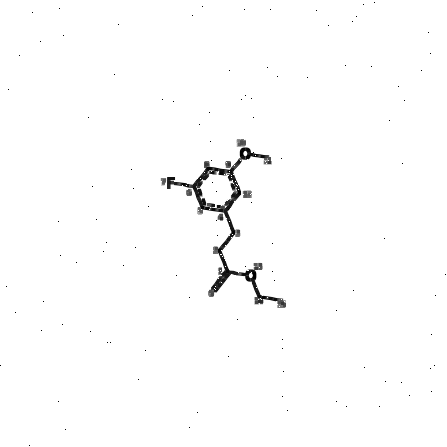 C=C(CCc1cc(F)cc(OC)c1)OCC